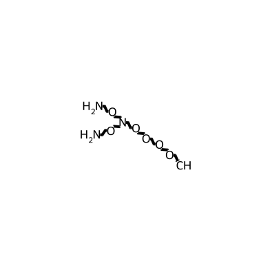 C#CCOCCOCCOCCOCCN(CCOCCN)CCOCCN